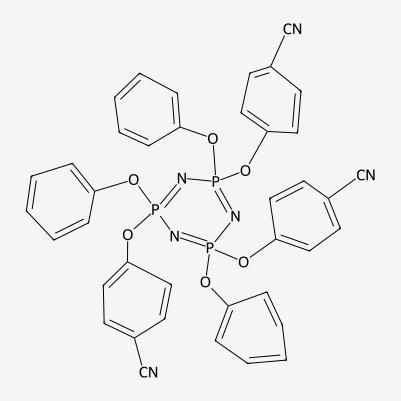 N#Cc1ccc(OP2(Oc3ccccc3)=NP(Oc3ccccc3)(Oc3ccc(C#N)cc3)=NP(Oc3ccccc3)(Oc3ccc(C#N)cc3)=N2)cc1